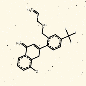 C=CCNCc1cc(C(F)(F)F)ccc1C1=CC(=C)c2cccc(Cl)c2C1